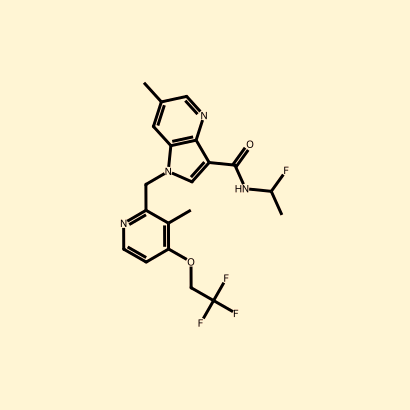 Cc1cnc2c(C(=O)NC(C)F)cn(Cc3nccc(OCC(F)(F)F)c3C)c2c1